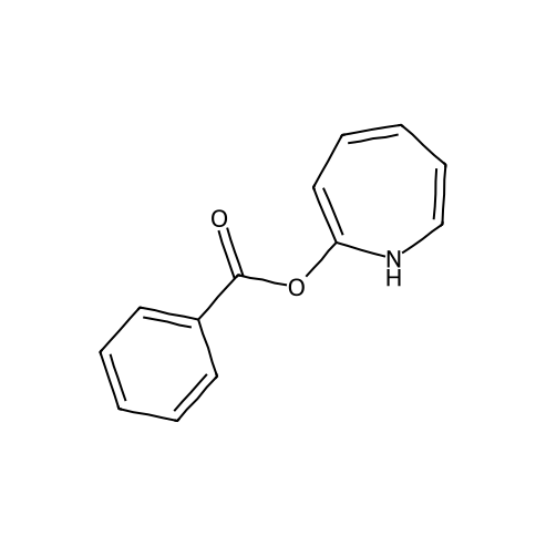 O=C(OC1=CC=CC=CN1)c1ccccc1